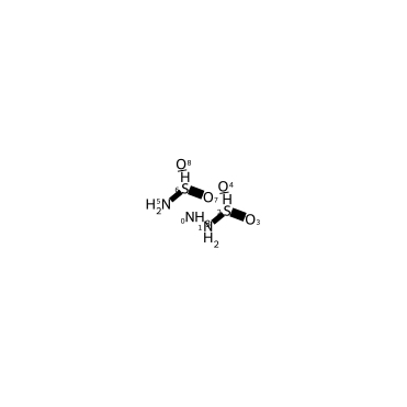 N.N[SH](=O)=O.N[SH](=O)=O